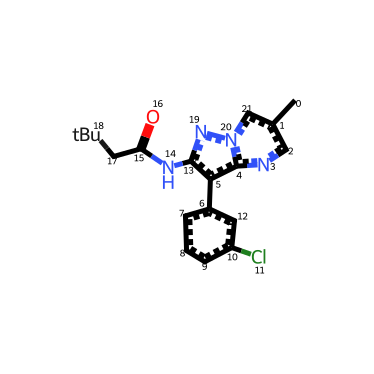 Cc1cnc2c(-c3cccc(Cl)c3)c(NC(=O)CC(C)(C)C)nn2c1